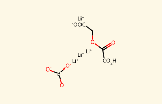 O=C([O-])COC(=O)C(=O)O.[Li+].[Li+].[Li+].[Li+].[O-]B([O-])[O-]